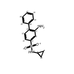 Nc1cc(S(=O)(=O)NC2CC2)ccc1-c1ccccc1